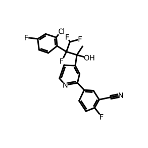 CC(O)(c1ccnc(-c2ccc(F)c(C#N)c2)c1)C(F)(c1ccc(F)cc1Cl)C(F)F